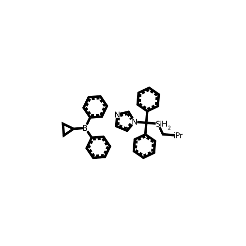 CC(C)C[SiH2]C(c1ccccc1)(c1ccccc1)n1ccnc1.c1ccc(B(c2ccccc2)C2CC2)cc1